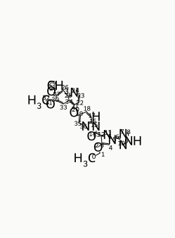 CCOc1cn(-c2nc[nH]n2)nc1C(=O)Nc1ccc(Oc2ccnc3cc(OC)c(OC)cc23)cn1